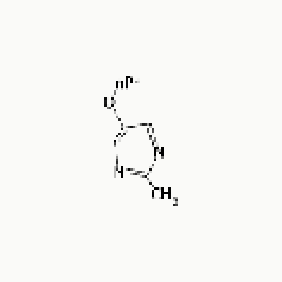 CCCOc1cnc(C)nc1